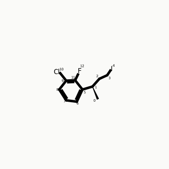 C[C@H](CCI)c1cccc(Cl)c1F